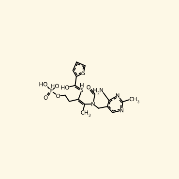 C/C(=C(CCOP(=O)(O)O)/[SH]=C(\O)c1cccs1)N(C=O)Cc1cnc(C)nc1N